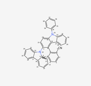 N#Cc1cccc(C#N)c1-c1c(-n2c3ccccc3c3ccccc32)ccc2c1c1ccccc1n2-c1ccccc1